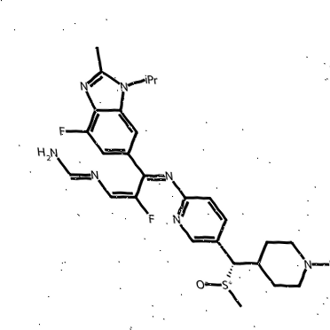 CCN1CCC([C@@H](c2ccc(\N=C(/C(F)=C\N=C\N)c3cc(F)c4nc(C)n(C(C)C)c4c3)nc2)[S+](C)[O-])CC1